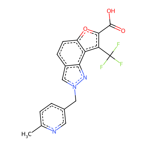 Cc1ccc(Cn2cc3ccc4oc(C(=O)O)c(C(F)(F)F)c4c3n2)cn1